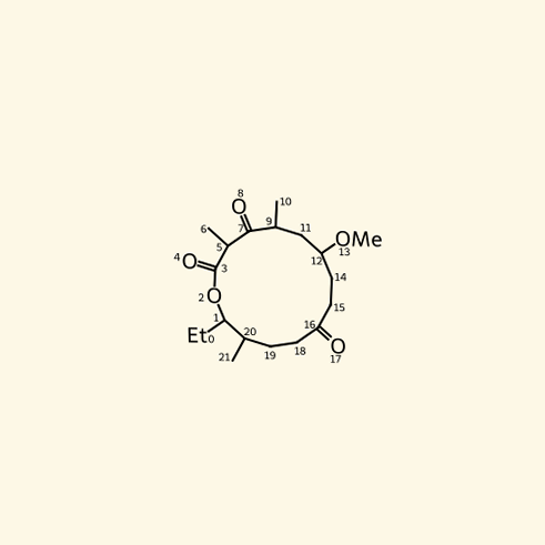 CCC1OC(=O)C(C)C(=O)C(C)CC(OC)CCC(=O)CCC1C